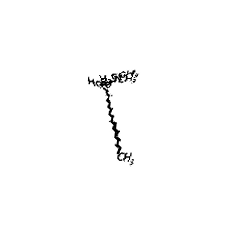 CCCCCCCCCCCCCCCC[CH]CCCP(=O)(O)OCC[N+](C)(C)C